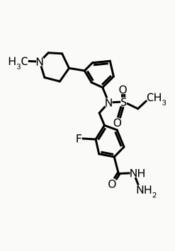 CCS(=O)(=O)N(Cc1ccc(C(=O)NN)cc1F)c1cccc(C2CCN(C)CC2)c1